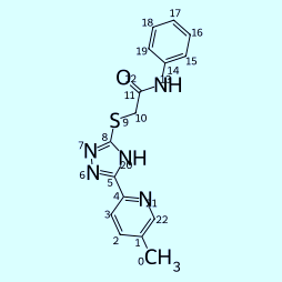 Cc1ccc(-c2nnc(SCC(=O)Nc3ccccc3)[nH]2)nc1